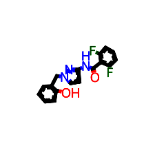 O=C(Nc1ccn(Cc2ccccc2O)n1)c1c(F)cccc1F